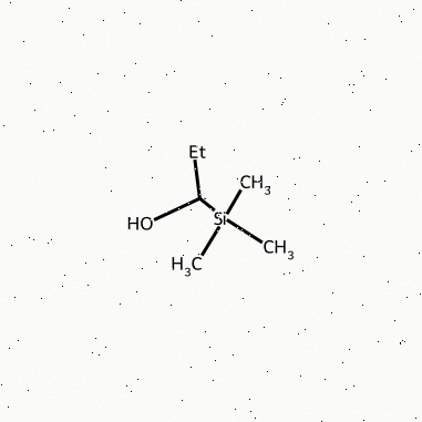 CC[C](O)[Si](C)(C)C